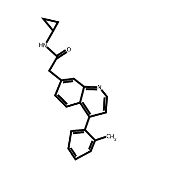 Cc1ccccc1-c1ccnc2cc(CC(=O)NC3CC3)ccc12